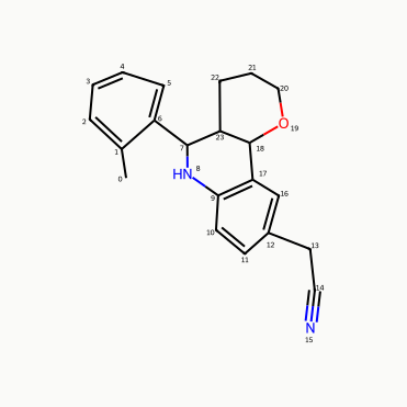 Cc1ccccc1C1Nc2ccc(CC#N)cc2C2OCCCC12